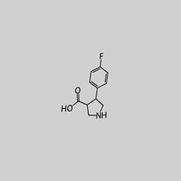 O=C(O)C1CNCC1c1ccc(F)cc1